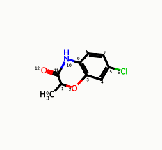 CC1Oc2cc(Cl)ccc2NC1=O